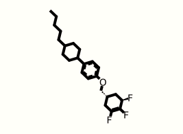 CCCCCC1CCC(c2ccc(OC[C@H]3CC(F)=C(F)[C@H](F)C3)cc2)CC1